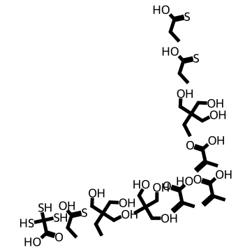 C=C(C)C(=O)O.C=C(C)C(=O)O.C=C(C)C(=O)O.CC(CO)(CO)CO.CCC(CO)(CO)CO.CCC(CO)(CO)CO.CCC(O)=S.CCC(O)=S.CCC(O)=S.O=C(O)C(S)(S)S